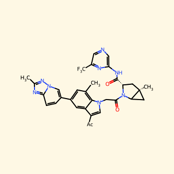 CC(=O)c1cn(CC(=O)N2C3C[C@]3(C)C[C@H]2C(=O)Nc2cncc(C(F)(F)F)n2)c2c(C)cc(-c3ccc4nc(C)nn4c3)cc12